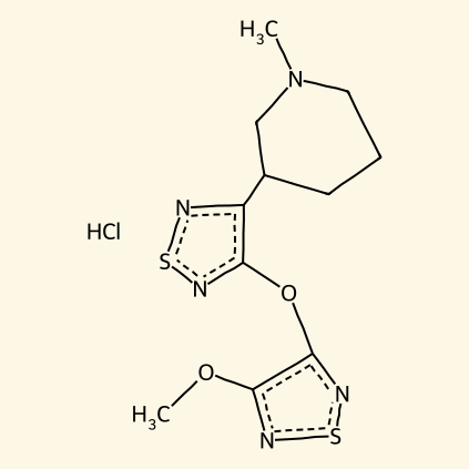 COc1nsnc1Oc1nsnc1C1CCCN(C)C1.Cl